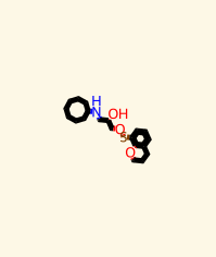 OC(CNC1CCCCCCC1)COSc1cccc2c1OCCC2